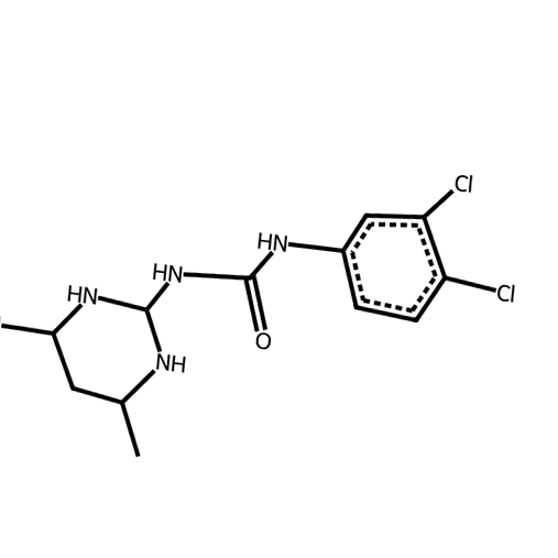 CC1CC(Cl)NC(NC(=O)Nc2ccc(Cl)c(Cl)c2)N1